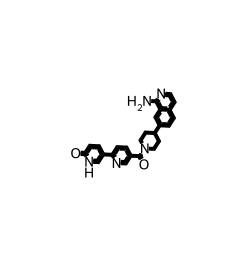 Nc1nccc2ccc(C3CCN(C(=O)c4ccc(-c5ccc(=O)[nH]c5)nc4)CC3)cc12